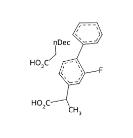 CC(C(=O)O)c1ccc(-c2ccccc2)c(F)c1.CCCCCCCCCCCC(=O)O